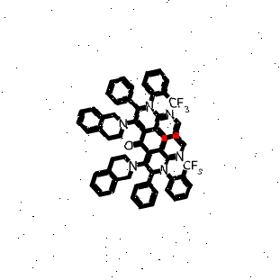 O=C(C1=C(N2CCc3ccccc3C2)C(c2ccccc2)N(c2ccccc2C(F)(F)F)c2ncccc21)C1=C(N2CCc3ccccc3C2)C(c2ccccc2)N(c2ccccc2C(F)(F)F)c2ncccc21